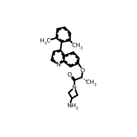 Cc1cccc(C)c1-c1ccnc2cc(O[C@H](C)C(=O)N3CC(N)C3)ccc12